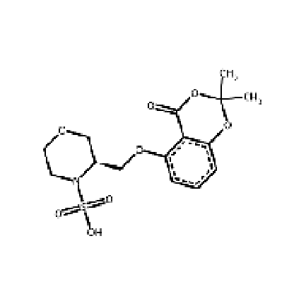 CC1(C)OC(=O)c2c(OC[C@@H]3COCCN3S(=O)(=O)O)cccc2O1